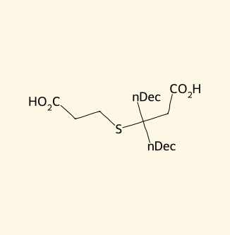 CCCCCCCCCCC(CCCCCCCCCC)(CC(=O)O)SCCC(=O)O